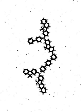 CC1(C)c2ccccc2-c2ccc(N(c3ccc(-c4ccc(-c5cccc(-c6ccc7c(c6)C(C)(C)c6cc(N(c8ccc(-c9ccccc9)cc8)c8ccc9c(c8)C(C)(C)c8c-9ccc9ccccc89)ccc6-7)c5)cc4)cc3)c3ccc4c(c3)C(C)(C)c3cc5ccccc5cc3-4)cc21